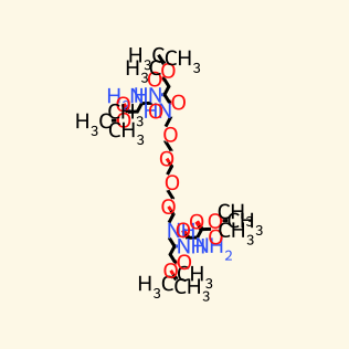 CC(C)(C)OC(=O)CC(CNCCOCCOCCOCCOCCNC(=O)C(CC(=O)OC(C)(C)C)NC(=O)C(N)CC(=O)OC(C)(C)C)NC(=O)C(N)C(=O)C(=O)OC(C)(C)C